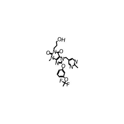 Cc1ncc(Cn2c(Oc3cccc(OC(C)(F)F)c3)nc3c2c(=O)n(CCCO)c(=O)n3C)cn1